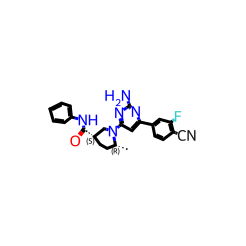 C[C@@H]1CC[C@H](C(=O)Nc2ccccc2)CN1c1cc(-c2ccc(C#N)c(F)c2)nc(N)n1